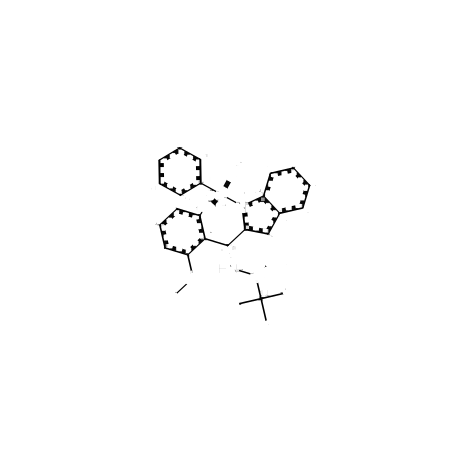 COc1cccc(F)c1[C@@H](N[S@@+]([O-])C(C)(C)C)c1cc2ccccc2n1S(=O)(=O)c1ccccc1